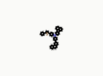 c1ccc(-c2ccc(-c3ccc(N(c4ccc(-c5ccc6ccc7ccccc7c6c5)cc4)c4ccc5c(c4)-c4cccc6cccc-5c46)cc3)s2)cc1